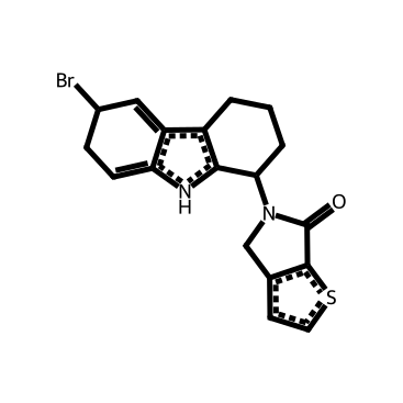 O=C1c2sccc2CN1C1CCCc2c1[nH]c1c2=CC(Br)CC=1